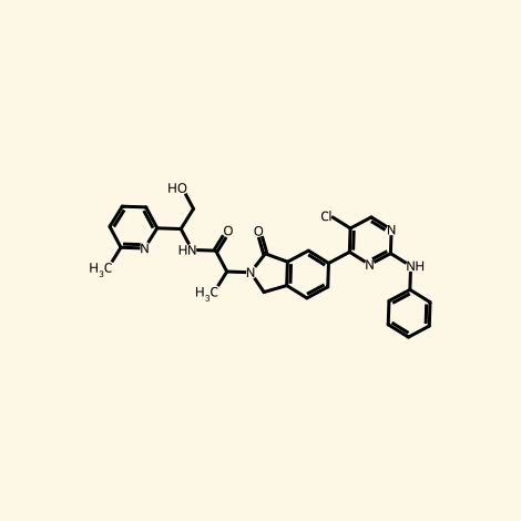 Cc1cccc(C(CO)NC(=O)C(C)N2Cc3ccc(-c4nc(Nc5ccccc5)ncc4Cl)cc3C2=O)n1